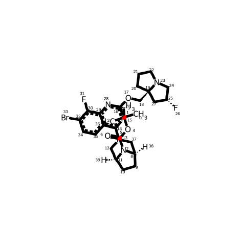 CC(C)(C)OC(=O)N1[C@@H]2CC[C@H]1CN(c1nc(OC[C@@]34CCCN3C[C@H](F)C4)nc3c(F)c(Br)ccc13)C2